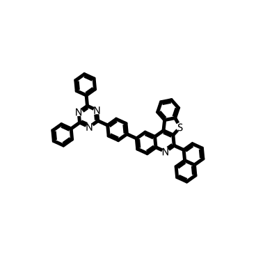 c1ccc(-c2nc(-c3ccccc3)nc(-c3ccc(-c4ccc5nc(-c6cccc7ccccc67)c6sc7ccccc7c6c5c4)cc3)n2)cc1